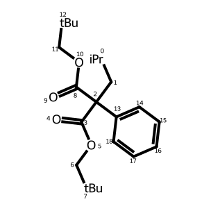 CC(C)CC(C(=O)OCC(C)(C)C)(C(=O)OCC(C)(C)C)c1ccccc1